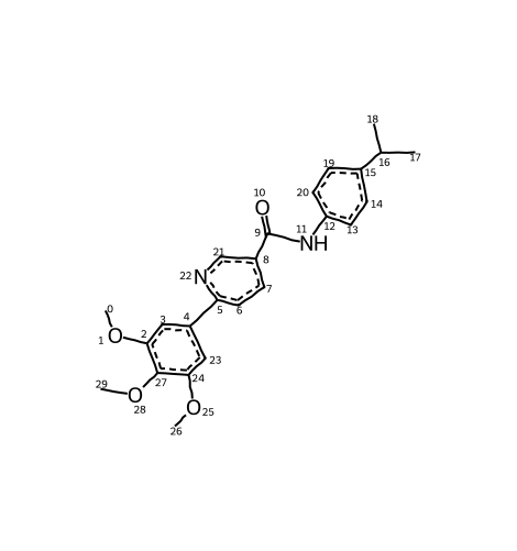 COc1cc(-c2ccc(C(=O)Nc3ccc(C(C)C)cc3)cn2)cc(OC)c1OC